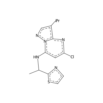 CC(C)c1cnn2c(NC(C)c3nccs3)cc(Cl)nc12